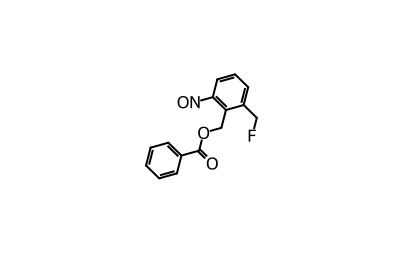 O=Nc1cccc(CF)c1COC(=O)c1ccccc1